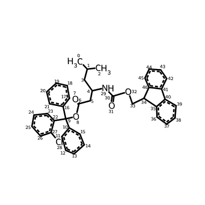 CC(C)CC(CC(=O)OC(c1ccccc1)(c1ccccc1)c1ccccc1Cl)NC(=O)OCC1c2ccccc2-c2ccccc21